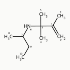 C=C(C)C(C)(C)NC(C)CC